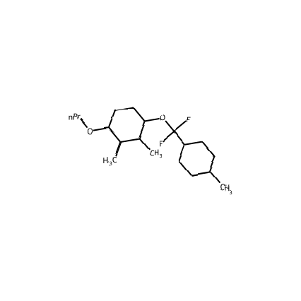 CCCOC1CCC(OC(F)(F)C2CCC(C)CC2)C(C)C1C